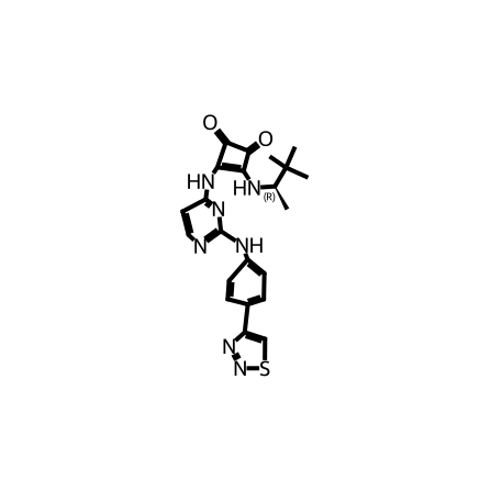 C[C@@H](Nc1c(Nc2ccnc(Nc3ccc(-c4csnn4)cc3)n2)c(=O)c1=O)C(C)(C)C